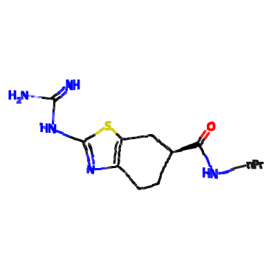 CCCNC(=O)[C@H]1CCc2nc(NC(=N)N)sc2C1